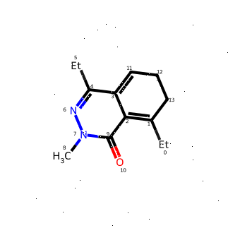 CCC1=c2c(c(CC)nn(C)c2=O)=CCC1